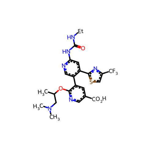 CCNC(=O)Nc1cc(-c2nc(C(F)(F)F)cs2)c(-c2cc(C(=O)O)cnc2OC(C)CN(C)C)cn1